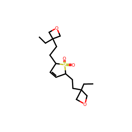 CCC1(CCC2C=CC(CCC3(CC)COC3)S2(=O)=O)COC1